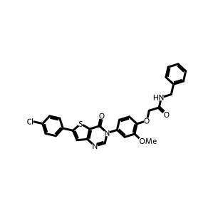 COc1cc(-n2cnc3cc(-c4ccc(Cl)cc4)sc3c2=O)ccc1OCC(=O)NCc1ccccc1